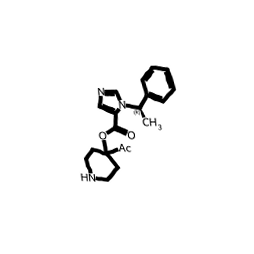 CC(=O)C1(OC(=O)c2cncn2[C@H](C)c2ccccc2)CCNCC1